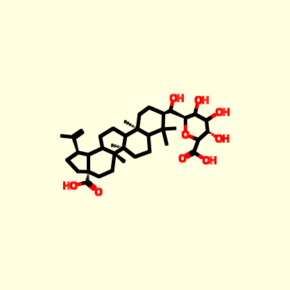 C=C(C)[C@@H]1CC[C@]2(C(=O)O)CC[C@]3(C)C(CCC4[C@@]5(C)CC[C@@H](C(O)[C@@H]6OC(C(=O)O)[C@@H](O)C(O)C6O)C(C)(C)C5CC[C@]43C)C12